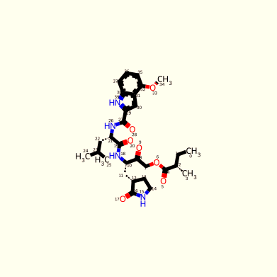 CC[C@H](C)C(=O)OCC(=O)[C@H](C[C@@H]1CCNC1=O)NC(=O)[C@H](CC(C)C)NC(=O)c1cc2c(OC)cccc2[nH]1